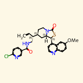 C=C[C@@H](CNC(=O)c1ccc(Cl)nc1)[C@H]1CCN2C(=O)S[C@@H](c3ccnc4ccc(OC)cc34)[C@@H]2C1